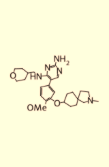 COc1ccc(-c2cnc(N)nc2NCC2CCOCC2)cc1OC1CCC2(CC1)CCN(C)C2